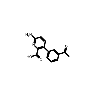 CC(=O)c1cccc(-c2ccc(N)nc2C(=O)O)c1